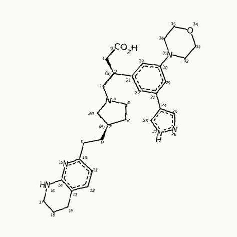 O=C(O)C[C@H](CN1CC[C@@H](CCc2ccc3c(n2)NCCC3)C1)c1cc(-c2cn[nH]c2)cc(N2CCOCC2)c1